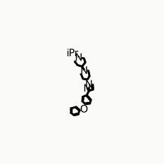 CC(C)N1CCC(N2CCC(n3ccc(-c4ccc(Oc5ccccc5)cc4)n3)CC2)CC1